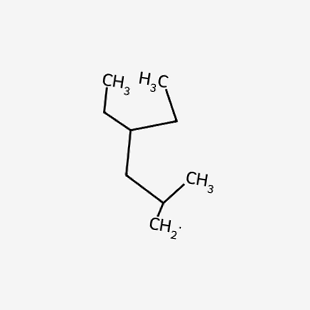 [CH2]C(C)CC(CC)CC